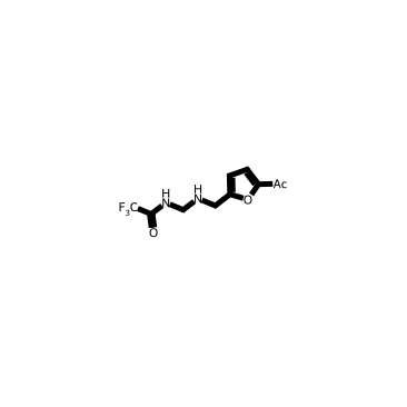 CC(=O)c1ccc(CNCNC(=O)C(F)(F)F)o1